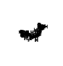 CN(CCCC(=O)Nc1ccc(CNC[C@H](O)c2ccc(O)c3[nH]c(=O)ccc23)cc1)C(=O)CCN1C[C@H]2CC(N(C(=O)O)c3ccccc3-c3ccccc3)C[C@H]2C1